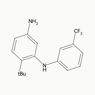 CC(C)(C)c1ccc(N)cc1Nc1cccc(C(F)(F)F)c1